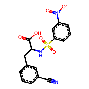 N#Cc1cccc(CC(NS(=O)(=O)c2cccc([N+](=O)[O-])c2)C(=O)O)c1